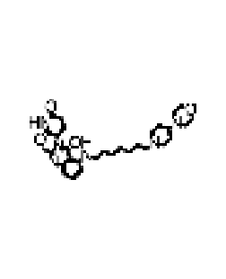 Cc1nc2cccc(NCCCCCCCN3CCC(N4CCOCC4)CC3)c2c(=O)n1C1CCC(=O)NC1=O